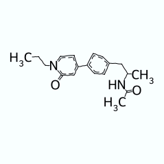 CCCn1ccc(-c2ccc(CC(C)NC(C)=O)cc2)cc1=O